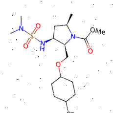 COC(=O)N1[C@H](C)C[C@H](NS(=O)(=O)N(C)C)[C@@H]1COC1CCC(C(F)(F)F)CC1